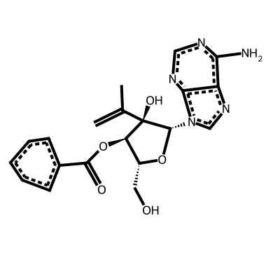 C=C(C)[C@@]1(O)[C@H](OC(=O)c2ccccc2)[C@@H](CO)O[C@H]1n1cnc2c(N)ncnc21